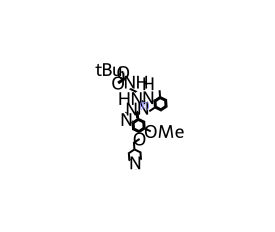 COc1cc2c(/N=C(\NCCNC(=O)OC(C)(C)C)Nc3c(C)cccc3C)ncnc2cc1OCC1CCN(C)CC1